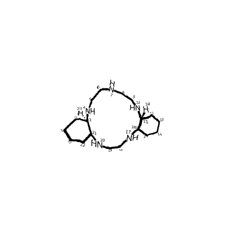 C1CC[C@H]2NCCNCCN[C@@H]3CCCCC3NCCNC2C1